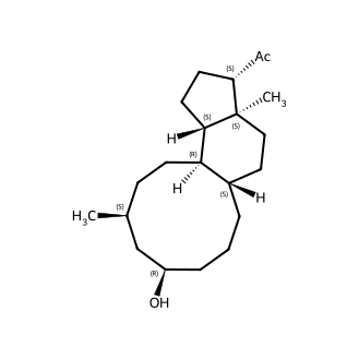 CC(=O)[C@H]1CC[C@H]2[C@@H]3CC[C@H](C)C[C@H](O)CCC[C@H]3CC[C@]12C